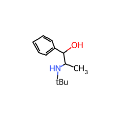 CC(NC(C)(C)C)C(O)c1ccccc1